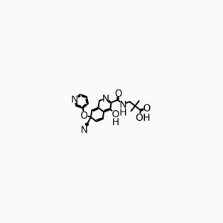 CC(C)(CNC(=O)C1=NCC2=CC(C#N)(Oc3cccnc3)C=CC2=C1O)C(=O)O